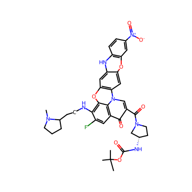 CN1CCCC1CCNc1c(F)cc2c(=O)c(C(=O)N3CC[C@H](NC(=O)OC(C)(C)C)C3)cn3c4cc5oc6cc([N+](=O)[O-])ccc6[nH]c5cc4oc1c23